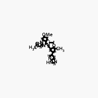 COc1ccc2c(N3CCOc4c(C)cc(-c5cnc6[nH]cnc6c5)cc4C3)nc(CN(C)C)nc2c1